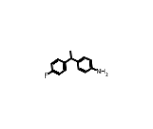 CC(c1ccc(N)cc1)c1ccc(F)cc1